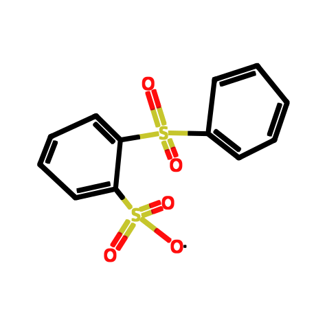 [O]S(=O)(=O)c1ccccc1S(=O)(=O)c1ccccc1